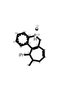 CC(C)C1C2=C(C=CCC1C)C[PH](=O)c1ccccc12